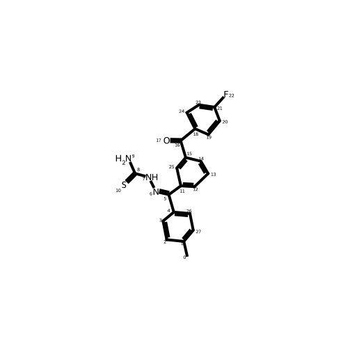 Cc1ccc(C(=NNC(N)=S)c2cccc(C(=O)c3ccc(F)cc3)c2)cc1